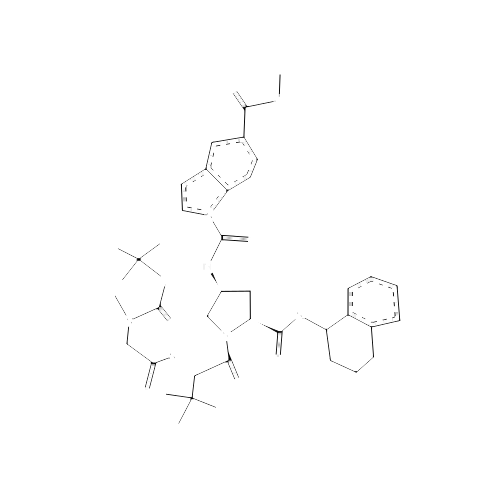 COC(=O)c1ccc2c(ccn2C(=O)N[C@H]2C[C@@H](C(=O)NC3CCCc4ccccc43)N(C(=O)[C@@H](NC(=O)[C@H](C)N(C)C(=O)OC(C)(C)C)C(C)(C)C)C2)c1